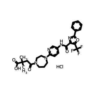 CC(C)(CC(=O)N1CCCN(c2ccc(NC(=O)c3nc(-c4ccccc4)oc3C(F)(F)F)cn2)CC1)C(=O)O.Cl